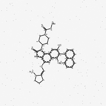 CN1CCC/C1=C/Oc1nc2c(F)c(-c3cccc4cccc(C#N)c34)c(Cl)cc2c2c1[nH]c(=O)n2C1CCN(C(=O)OC(C)(C)C)CC1